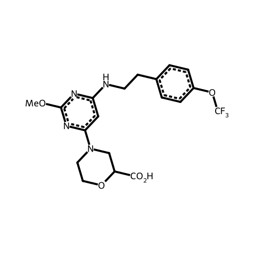 COc1nc(NCCc2ccc(OC(F)(F)F)cc2)cc(N2CCOC(C(=O)O)C2)n1